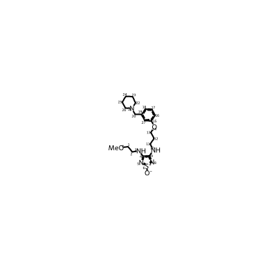 COCCNc1n[s+]([O-])nc1NCCCOc1cccc(CN2CCCCC2)c1